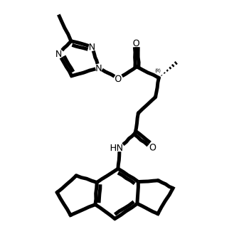 Cc1ncn(OC(=O)[C@H](C)CCC(=O)Nc2c3c(cc4c2CCC4)CCC3)n1